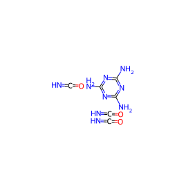 N=C=O.N=C=O.N=C=O.Nc1nc(N)nc(N)n1